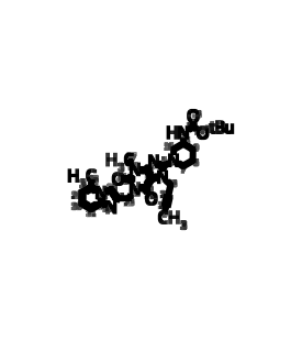 CC#CCn1c(N2CCCC(NC(=O)OC(C)(C)C)C2)nc2c1c(=O)n(Cc1cn3c(C)cccc3n1)c(=O)n2C